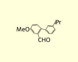 COc1ccc(-c2cccc(C(C)C)c2)c(C=O)c1